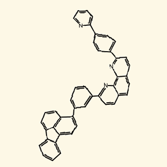 c1ccc(-c2ccc(-c3ccc4ccc5ccc(-c6cccc(-c7ccc8c9c(cccc79)-c7ccccc7-8)c6)nc5c4n3)cc2)nc1